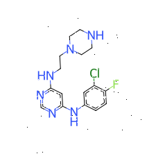 Fc1ccc(Nc2cc(NCCN3CCNCC3)ncn2)cc1Cl